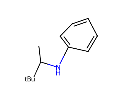 CC(Nc1ccccc1)C(C)(C)C